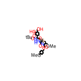 COCC1=C(C(=O)OCc2ccc(OC)cc2)N2C(=O)C(NC(=O)[C@H](NC(=O)OC(C)(C)C)c3ccc(CO)c(O)c3)[C@@H]2SC1